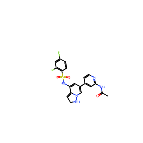 CC(=O)Nc1cc(C2=CN3NCC=C3C(NS(=O)(=O)c3ccc(F)cc3F)=C2)ccn1